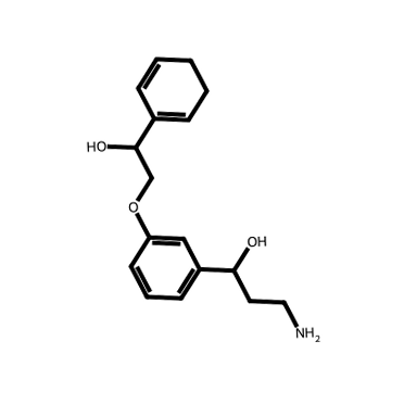 NCCC(O)c1cccc(OCC(O)C2=CCCC=C2)c1